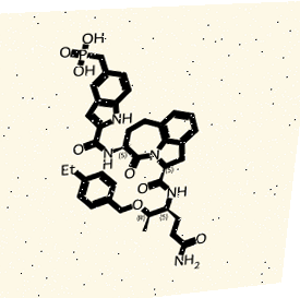 CCc1ccc(CO[C@H](C)[C@H](CCC(N)=O)NC(=O)[C@@H]2Cc3cccc4c3N2C(=O)[C@@H](NC(=O)c2cc3cc(CP(=O)(O)O)ccc3[nH]2)CC4)cc1